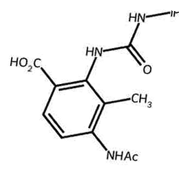 CC(=O)Nc1ccc(C(=O)O)c(NC(=O)NC(C)C)c1C